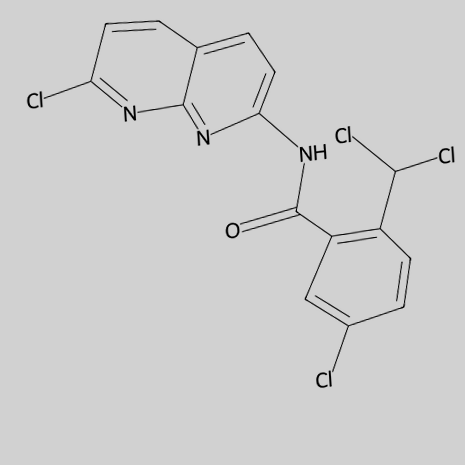 O=C(Nc1ccc2ccc(Cl)nc2n1)c1cc(Cl)ccc1C(Cl)Cl